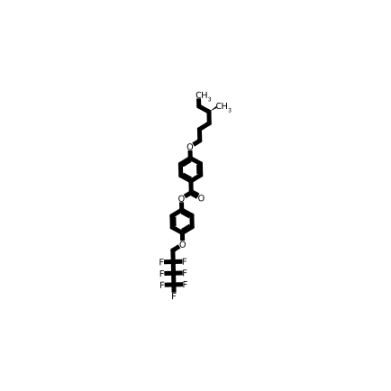 CC[C@H](C)CCCOc1ccc(C(=O)Oc2ccc(OCC(F)(F)C(F)(F)C(F)(F)F)cc2)cc1